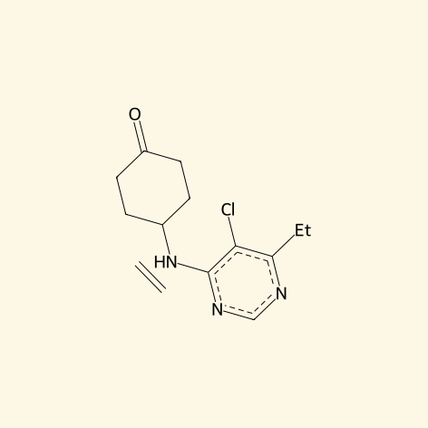 C=C.CCc1ncnc(NC2CCC(=O)CC2)c1Cl